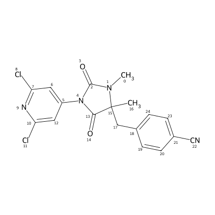 CN1C(=O)N(c2cc(Cl)nc(Cl)c2)C(=O)C1(C)Cc1ccc(C#N)cc1